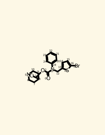 O=C(OC1CN2CCC1CC2)N(Cc1ccc(Br)s1)c1ccccc1